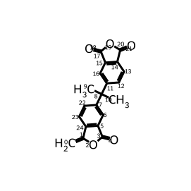 C=C1OC(=O)c2cc(C(C)(C)c3ccc4c(c3)C(=O)OC4=O)ccc21